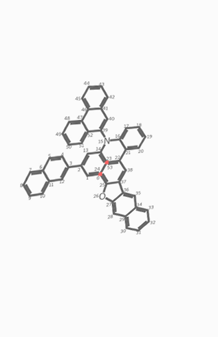 c1cc(-c2ccc3ccccc3c2)cc(N(c2ccccc2-c2ccc3oc4cc5ccccc5cc4c3c2)c2cc3ccccc3c3ccccc23)c1